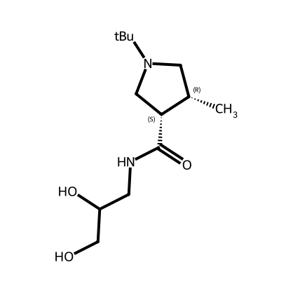 C[C@H]1CN(C(C)(C)C)C[C@H]1C(=O)NCC(O)CO